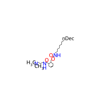 CCCCCCCCCCCCCCCCCCNC(=O)OCC1CC=CCC1C(=O)NCCCN(C)C